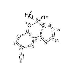 O=P1(O)Oc2ccc(Cl)cc2-c2ccccc21